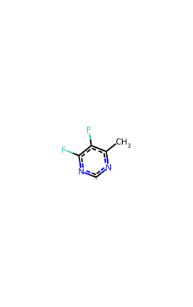 Cc1n[c]nc(F)c1F